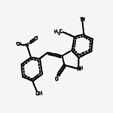 Cc1c(Br)ccc2c1C(=Cc1cc(O)ccc1[N+](=O)[O-])C(=O)N2